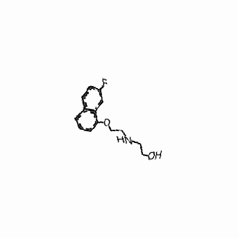 OCCNCCOc1cccc2ccc(F)cc12